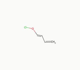 C=CC=COCl